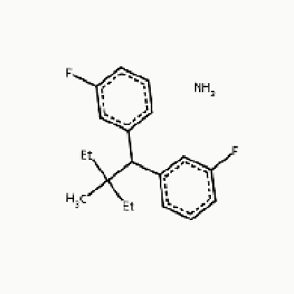 CCC(C)(CC)C(c1cccc(F)c1)c1cccc(F)c1.N